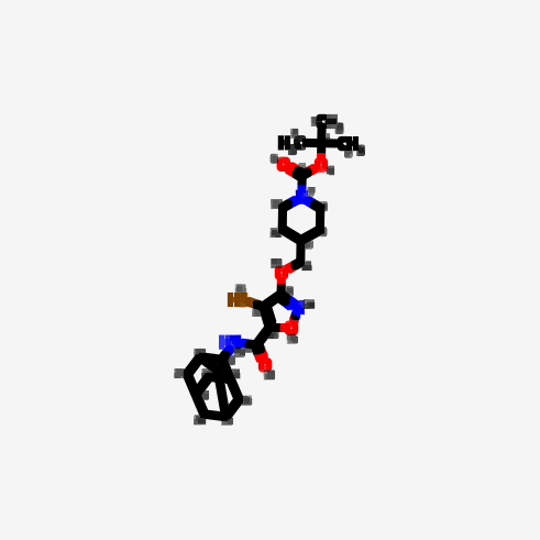 CC(C)(C)OC(=O)N1CCC(COc2noc(C(=O)NC3C4CC5CC(C4)CC3C5)c2S)CC1